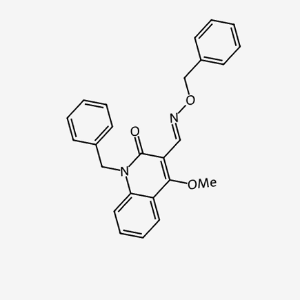 COc1c(/C=N/OCc2ccccc2)c(=O)n(Cc2ccccc2)c2ccccc12